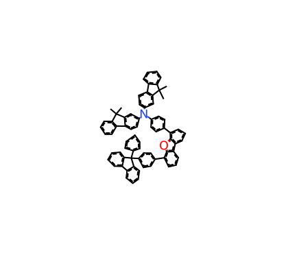 CC1(C)c2ccccc2-c2ccc(N(c3ccc(-c4cccc5c4oc4c(-c6ccc(C7(c8ccccc8)c8ccccc8-c8ccccc87)cc6)cccc45)cc3)c3ccc4c(c3)C(C)(C)c3ccccc3-4)cc21